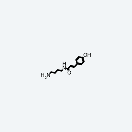 NCCCCNC(=O)/C=C/c1ccc(O)cc1